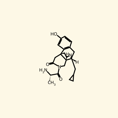 C[C@H](N)C(=O)N1C[C@H]2[C@H]3Cc4ccc(O)cc4[C@@]2(CCN3CC2CC2)CC1=O